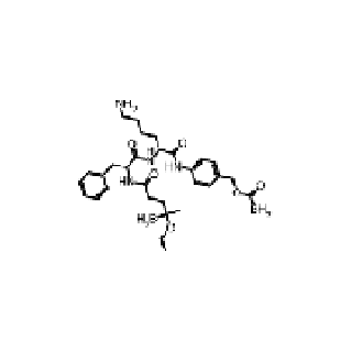 BC(=O)OCc1ccc(NC(=O)[C@H](CCCCN)NC(=O)[C@H](Cc2ccccc2)NC(=O)CCC(B)(C)OCC)cc1